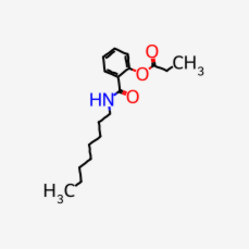 CCCCCCCCNC(=O)c1ccccc1OC(=O)CC